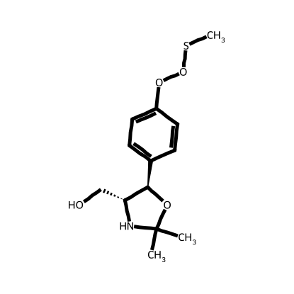 CSOOc1ccc([C@H]2OC(C)(C)N[C@@H]2CO)cc1